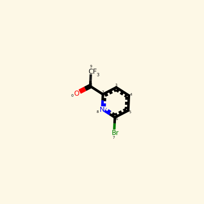 O=C(c1cccc(Br)n1)C(F)(F)F